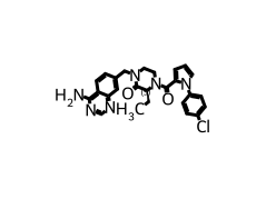 CC[C@H]1C(=O)N(Cc2ccc3c(N)ncnc3c2)CCN1C(=O)c1cccn1-c1ccc(Cl)cc1